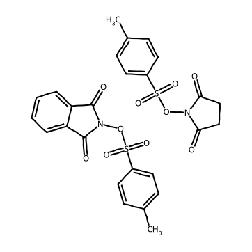 Cc1ccc(S(=O)(=O)ON2C(=O)CCC2=O)cc1.Cc1ccc(S(=O)(=O)ON2C(=O)c3ccccc3C2=O)cc1